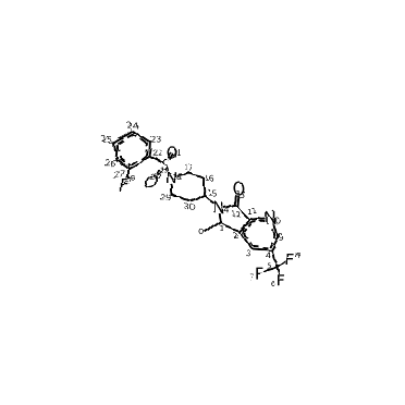 CC1c2cc(C(F)(F)F)cnc2C(=O)N1C1CCN(S(=O)(=O)c2ccccc2F)CC1